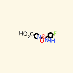 O=C(O)C1CCN(C(=O)Oc2n[nH]c3cc(F)ccc23)CC1